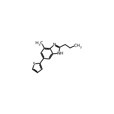 CCCc1nc2c(C)cc(-c3cccs3)cc2[nH]1